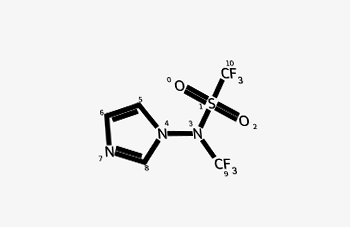 O=S(=O)(N(n1ccnc1)C(F)(F)F)C(F)(F)F